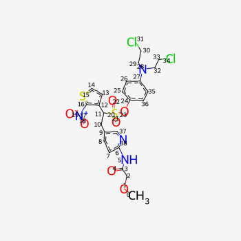 COCC(=O)Nc1ccc(CC(c2ccsc2[N+](=O)[O-])S(=O)(=O)Oc2ccc(N(CCCl)CCCl)cc2)cn1